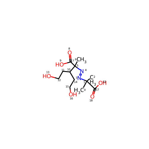 CC(C)(N=NC(C)(C(=O)O)C(CCO)CCO)C(=O)O